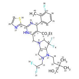 CCOC(=O)C1=C(CN2CC(F)(F)C3C2CN(CC(F)F)N3CCC(C)(C)C(=O)O)NC(c2nccs2)=NC1c1cccc(F)c1C